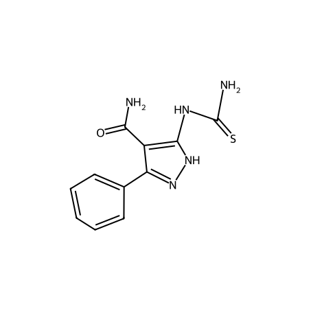 NC(=O)c1c(-c2ccccc2)n[nH]c1NC(N)=S